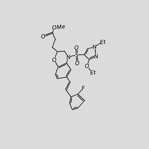 CCOc1nn(CC)cc1S(=O)(=O)N1CC(CCC(=O)OC)Oc2ccc(C=Cc3ccccc3F)cc21